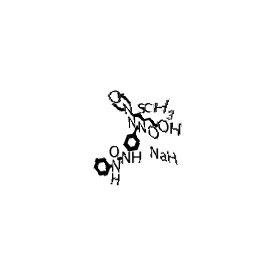 CSc1c(CC(=O)O)nc(-c2ccc(NC(=O)Nc3ccccc3)cc2)nc1N1CCOCC1.[NaH]